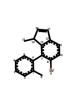 Cc1ccccc1-c1c(Br)ccc2c1C(C)C=C2